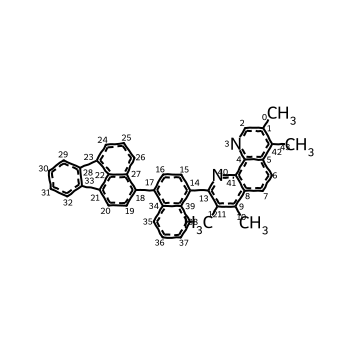 Cc1cnc2c(ccc3c(C)c(C)c(-c4ccc(-c5ccc6c7c(cccc57)-c5ccccc5-6)c5ccccc45)nc32)c1C